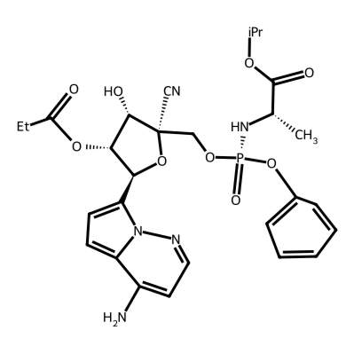 CCC(=O)O[C@H]1[C@H](c2ccc3c(N)ccnn23)O[C@](C#N)(CO[P@@](=O)(N[C@@H](C)C(=O)OC(C)C)Oc2ccccc2)[C@H]1O